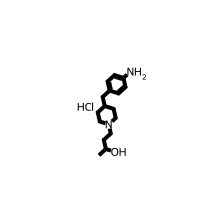 CC(O)CCN1CCC(Cc2ccc(N)cc2)CC1.Cl